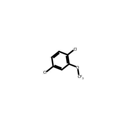 FC(F)(F)Oc1cc(Cl)[c]cc1Cl